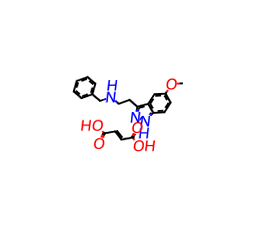 COc1ccc2[nH]nc(CCNCc3ccccc3)c2c1.O=C(O)/C=C/C(=O)O